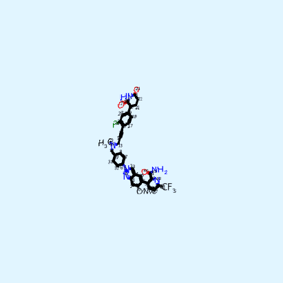 COc1cc2nn(C3CCC(CN(C)CC#Cc4ccc(C5CCC(=O)NC5=O)cc4F)CC3)cc2cc1-c1ccc(C(F)(F)F)nc1C(N)=O